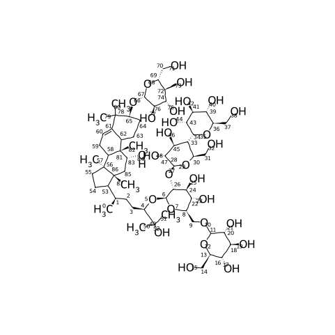 C[C@H](CC[C@@H](O[C@@H]1O[C@H](COC2O[C@H](CO)[C@@H](O)[C@H](O)[C@H]2O)[C@@H](O)[C@H](O)[C@H]1O[C@@H]1O[C@H](CO)C([C@H]2O[C@H](CO)[C@@H](O)[C@H](O)[C@H]2O)[C@H](O)[C@H]1O)C(C)(C)O)C1CC[C@@]2(C)C3CC=C4C(CC[C@H](O[C@@H]5O[C@H](CO)[C@@H](O)[C@H](O)[C@H]5O)C4(C)C)[C@]3(C)[C@H](O)C[C@]12C